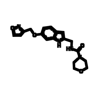 O=C(NCc1cc2ccc(OCc3ccon3)cc2[nH]1)N1CCOCC1